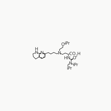 CC(C)CN(C(=O)N[C@@H](CCN(CCCCc1ccc2c(n1)NCCC2)CCOC(C)C)C(=O)O)C(C)C